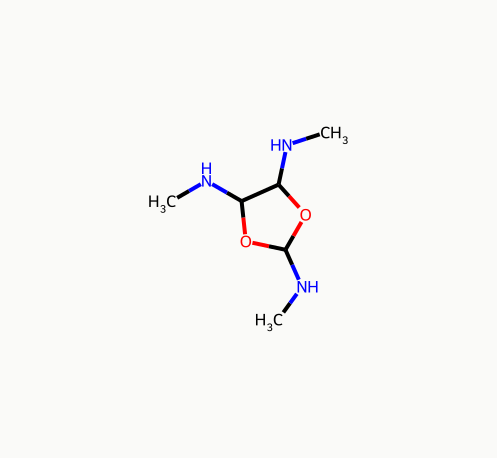 CNC1OC(NC)C(NC)O1